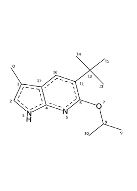 Cc1c[nH]c2nc(OC(C)C)c(C(C)(C)C)cc12